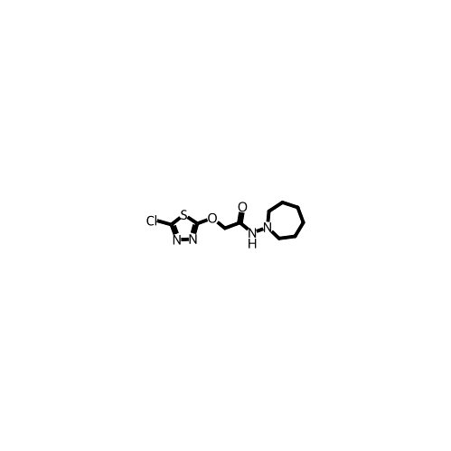 O=C(COc1nnc(Cl)s1)NN1CCCCCC1